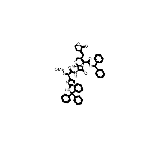 CO/N=C(\C(=O)N[C@@H]1C(=O)N2C(C(=O)OC(c3ccccc3)c3ccccc3)=C(/C=C3\CCOC3=O)CS[C@@H]12)c1csc(NC(c2ccccc2)(c2ccccc2)c2ccccc2)n1